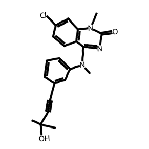 CN(c1cccc(C#CC(C)(C)O)c1)c1nc(=O)n(C)c2cc(Cl)ccc12